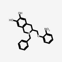 O=[N+]([O-])c1ccccc1OCC1Cc2cc(O)c(O)cc2CN1Cc1ccccc1